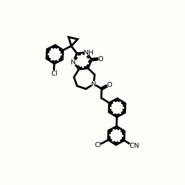 N#Cc1cc(Cl)cc(-c2cccc(CC(=O)N3CCCc4nc(C5(c6cccc(Cl)c6)CC5)[nH]c(=O)c4C3)c2)c1